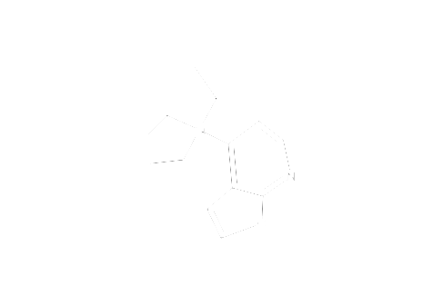 CC[Si](CC)(CC)c1ccnc2occc12